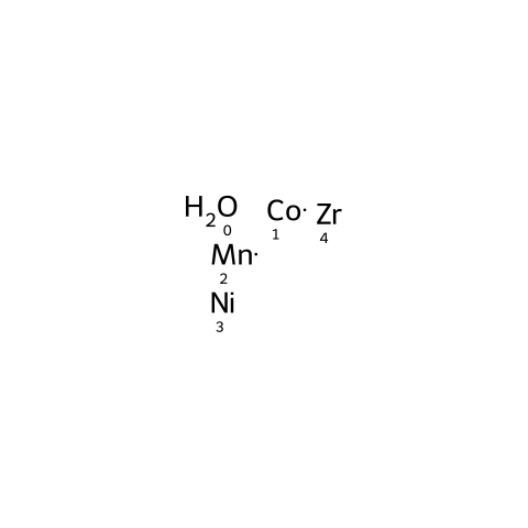 O.[Co].[Mn].[Ni].[Zr]